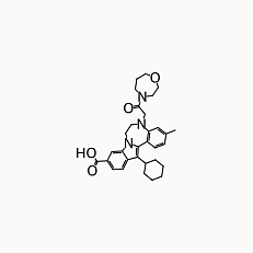 Cc1ccc2c(c1)N(CC(=O)N1CCCOCC1)CCn1c-2c(C2CCCCC2)c2ccc(C(=O)O)cc21